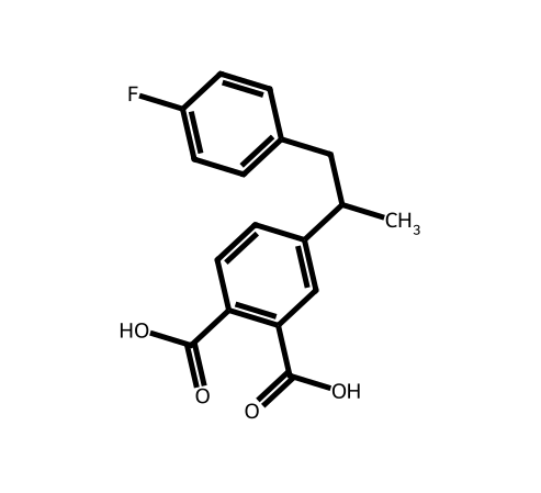 CC(Cc1ccc(F)cc1)c1ccc(C(=O)O)c(C(=O)O)c1